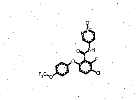 O=C(Nc1cc[n+]([O-])nc1)c1c(Oc2ccc(OC(F)(F)F)cc2)ccc(Cl)c1F